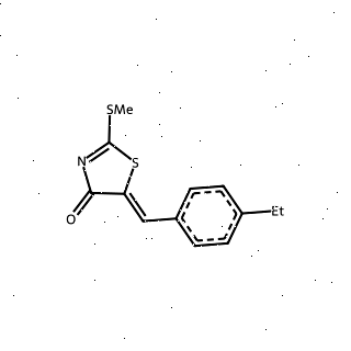 CCc1ccc(/C=C2\SC(SC)=NC2=O)cc1